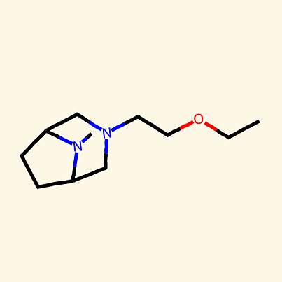 CCOCCN1CC2CCC(C1)N2C